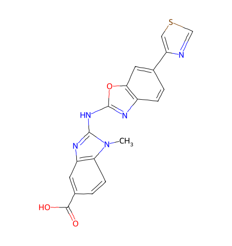 Cn1c(Nc2nc3ccc(-c4cscn4)cc3o2)nc2cc(C(=O)O)ccc21